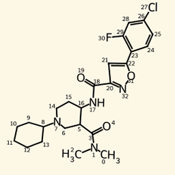 CN(C)C(=O)C1CN(C2CCCCC2)CCC1NC(=O)c1cc(-c2ccc(Cl)cc2F)on1